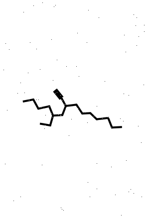 C#CC(CCCCCCC)CC(CC)CCCC